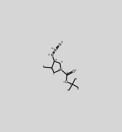 CC1CN(C(=O)OC(C)(C)C)CC1N=[N+]=[N-]